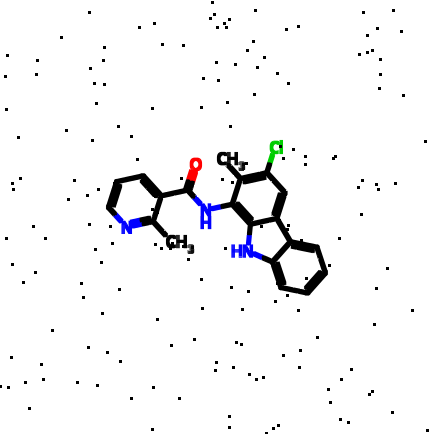 Cc1ncccc1C(=O)Nc1c(C)c(Cl)cc2c1[nH]c1ccccc12